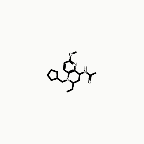 CCC1CC(NC(C)=O)c2nc(OC)ccc2N1CC1CCCC1